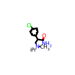 CC(C)N(C)CC(C(N)=O)c1ccc(Cl)cc1